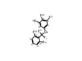 Fc1cc(OC(F)(F)c2c(F)cccc2F)cc(F)c1F